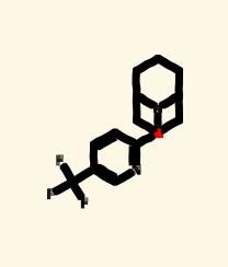 FC(F)(F)c1ccc(ON2C3CCCC2CCC3)nc1